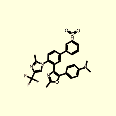 Cc1nc(-c2cc(-c3cccc([SH](=O)=O)c3)ccc2-n2cc(C(F)(F)F)nc2C)c(-c2ccc(N(C)C)cc2)o1